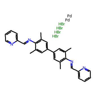 Br.Br.Br.Br.Cc1cc(-c2cc(C)c(N=Cc3ccccn3)c(C)c2)cc(C)c1N=Cc1ccccn1.[Pd].[Pd]